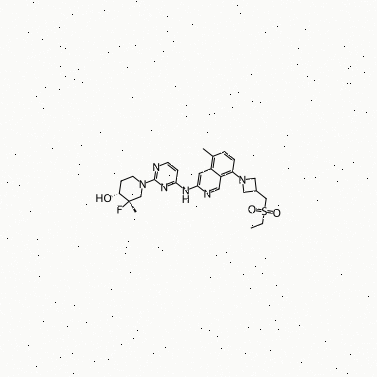 CCS(=O)(=O)CC1CN(c2ccc(C)c3cc(Nc4ccnc(N5CC[C@@H](O)[C@@](C)(F)C5)n4)ncc23)C1